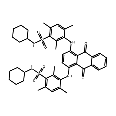 Cc1cc(C)c(S(=O)(=O)NC2CCCCC2)c(C)c1Nc1ccc(Nc2c(C)cc(C)c(S(=O)(=O)NC3CCCCC3)c2C)c2c1C(=O)c1ccccc1C2=O